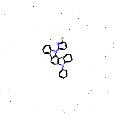 Brc1cccc(-n2c3ccccc3c3ccc4c(c5ccccc5n4-c4ccccc4)c32)n1